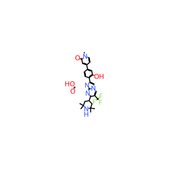 Cn1ccc(-c2ccc(-c3cn4cc(C(F)(F)F)c(C5CC(C)(C)NC(C)(C)C5)nc4n3)c(O)c2)cc1=O.O=CO